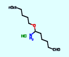 CCCCCCCCCCCCOC(N)CCCCC=O.Cl